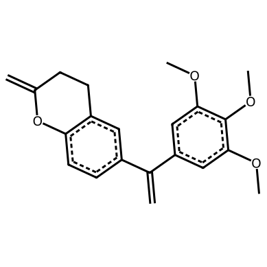 C=C1CCc2cc(C(=C)c3cc(OC)c(OC)c(OC)c3)ccc2O1